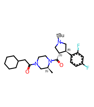 C[C@H]1CN(C(=O)CC2CCCCC2)CCN1C(=O)[C@@H]1CN(C(C)(C)C)C[C@H]1c1ccc(F)cc1F